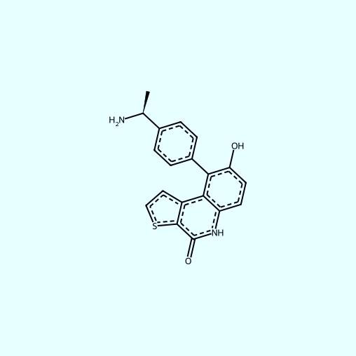 C[C@H](N)c1ccc(-c2c(O)ccc3[nH]c(=O)c4sccc4c23)cc1